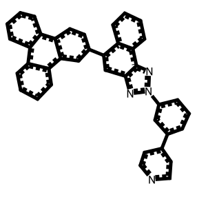 c1cc(-c2ccncc2)cc(-n2nc3cc(-c4ccc5c6ccccc6c6ccccc6c5c4)c4ccccc4c3n2)c1